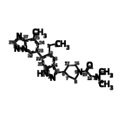 CCc1cc2c(C3CCN(C(=O)CN(C)C)CC3)n[nH]c2cc1-c1cc(C)c2ncnn2c1